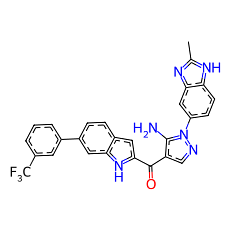 Cc1nc2cc(-n3ncc(C(=O)c4cc5ccc(-c6cccc(C(F)(F)F)c6)cc5[nH]4)c3N)ccc2[nH]1